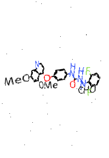 COc1cc(OC)c2c(Oc3ccc(NC(=O)NN(C=O)c4c(F)cccc4F)cc3)ccnc2c1